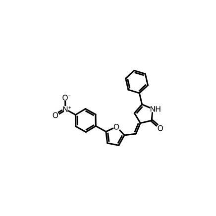 O=C1NC(c2ccccc2)=C/C1=C\c1ccc(-c2ccc([N+](=O)[O-])cc2)o1